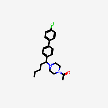 CCCCC(c1ccc(-c2ccc(Cl)cc2)cc1)N1CCN(C(C)=O)CC1